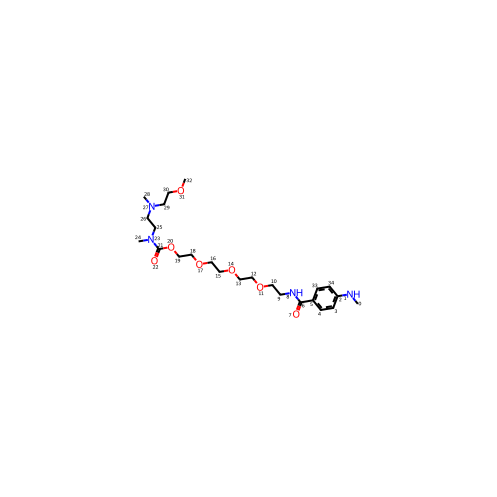 CNc1ccc(C(=O)NCCOCCOCCOCCOC(=O)N(C)CCN(C)CCOC)cc1